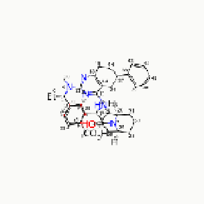 CC[C@H](C1CCC(C(=O)O)CC1)N(C)c1nc2c(c(N[C@@H](CN3[C@@H]4CCC[C@H]3CC(O)C4)c3ccccc3)n1)C[C@H](c1ccccc1)CC2